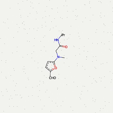 CC(C)NC(=O)CN(C)c1ccc(C=O)o1